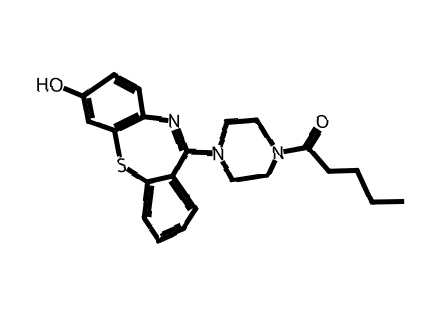 CCCCC(=O)N1CCN(C2=Nc3ccc(O)cc3Sc3ccccc32)CC1